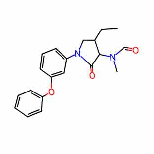 CCC1CN(c2cccc(Oc3ccccc3)c2)C(=O)C1N(C)C=O